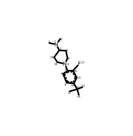 CN(C)C1CCN(c2ccc(C(C)(C)C)cc2F)CC1